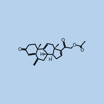 C=C1C[C@@H]2C(=CC[C@]3(C)C(C(=O)COC(C)=O)=CC[C@@H]23)[C@@]2(C)CCC(=O)C=C12